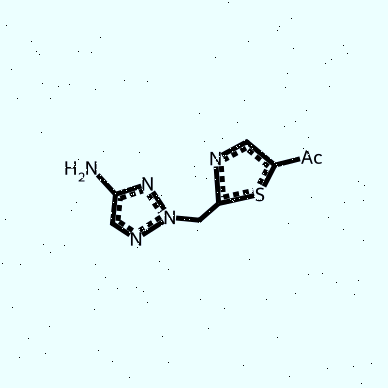 CC(=O)c1cnc(Cn2ncc(N)n2)s1